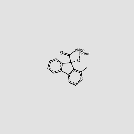 CCCCCCCCCC(=O)C1(OCCCCC)c2ccccc2-c2cccc(C)c21